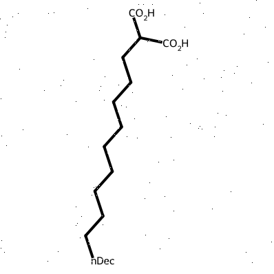 CCCCCCCCCCCCCCCCCCCC(C(=O)O)C(=O)O